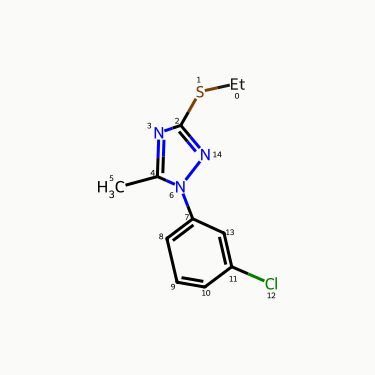 [CH2]CSc1nc(C)n(-c2cccc(Cl)c2)n1